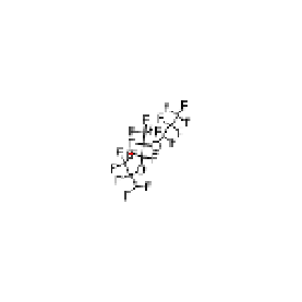 F[C](F)C(F)(OC(F)(F)C(F)(OC(F)(F)C(F)(F)C(F)(F)F)C(F)(F)F)C(F)(F)F